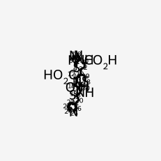 O=C(O)CCC(Sc1nnn[nH]1)C1=C(C(=O)O)N2C(=O)C(NC(=S)Cc3cccnc3)[C@@H]2SC1